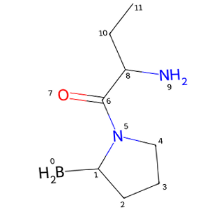 BC1CCCN1C(=O)C(N)CC